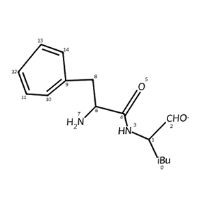 CCC(C)C([C]=O)NC(=O)C(N)Cc1ccccc1